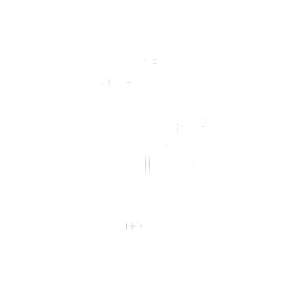 OCc1ccc2c(c1)COB2c1cccc(Cl)c1